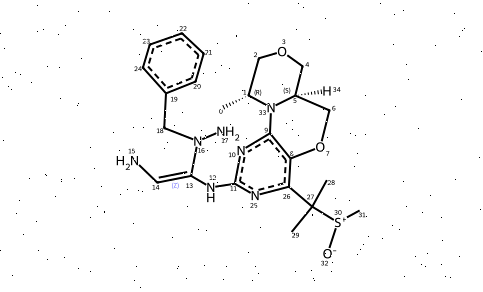 C[C@@H]1COC[C@H]2COc3c(nc(N/C(=C/N)N(N)Cc4ccccc4)nc3C(C)(C)[S+](C)[O-])N21